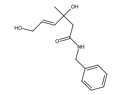 CC(O)(C=CCO)CC(=O)NCc1ccccc1